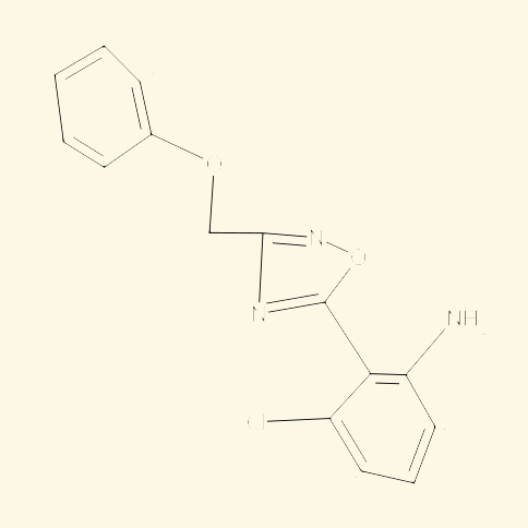 Nc1cccc(Cl)c1-c1nc(COc2ccccc2)no1